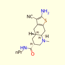 CCCNC(=O)[C@@H]1C[C@@H]2Cc3c(sc(N)c3C#N)C[C@H]2N(C)C1